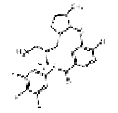 CC(CN)CC1CCC(C)C1Sc1cc(C(=O)Nc2cc(F)c(F)c(F)c2)ccc1Cl